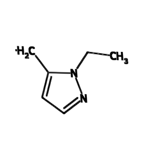 [CH2]c1ccnn1CC